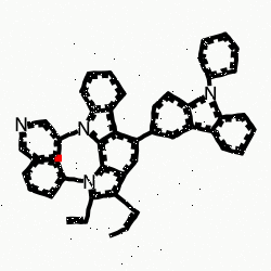 C=Cc1c(/C=C\C)c2cc(-c3ccc4c(c3)c3ccccc3n4-c3ccccc3)c3c4ccccc4n(-c4cccnc4)c3c2n1-c1ccccc1